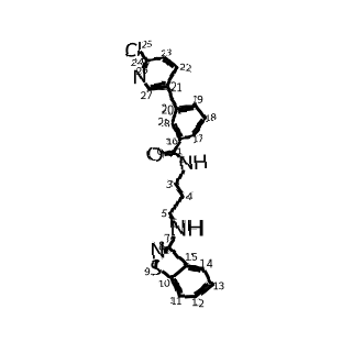 O=C(NCCCNc1nsc2ccccc12)c1cccc(-c2ccc(Cl)nc2)c1